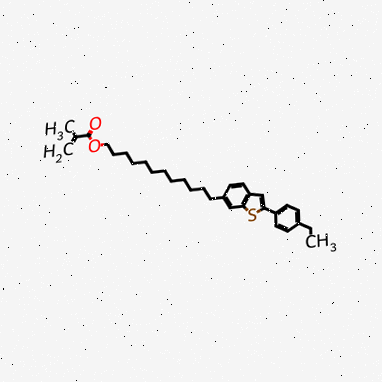 C=C(C)C(=O)OCCCCCCCCCCCCc1ccc2cc(-c3ccc(CC)cc3)sc2c1